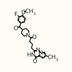 COc1ccc(C(=O)C2CCN(C(=O)CCCc3nn4cc(C)cc4c(=O)[nH]3)CC2)cc1F